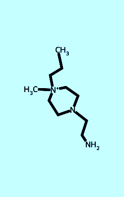 CCC[N+]1(C)CCN(CCN)CC1